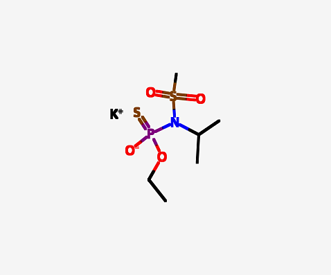 CCOP([O-])(=S)N(C(C)C)S(C)(=O)=O.[K+]